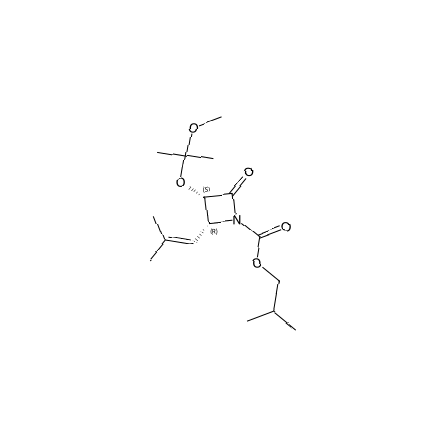 COC(C)(C)O[C@@H]1C(=O)N(C(=O)OCC(C)C)[C@@H]1C=C(C)C